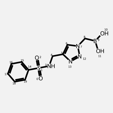 O=S(=O)(NCc1cn(CB(O)O)nn1)c1ccccc1